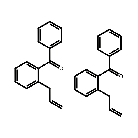 C=CCc1ccccc1C(=O)c1ccccc1.C=CCc1ccccc1C(=O)c1ccccc1